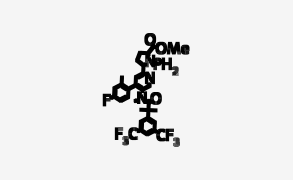 COC(=O)C1CCC(c2cc(-c3ccc(F)cc3C)c(N(C)C(=O)C(C)(C)c3cc(C(F)(F)F)cc(C(F)(F)F)c3)cn2)N1P